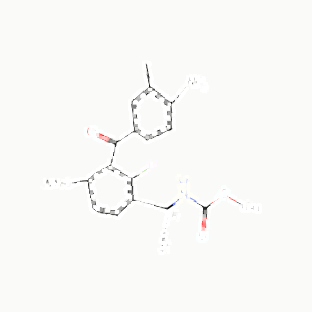 CC[C@@H](NC(=O)OC(C)(C)C)c1ccc(OC)c(C(=O)c2ccc([N+](=O)[O-])c(C)c2)c1F